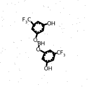 Oc1cc(OBOc2cc(O)cc(C(F)(F)F)c2)cc(C(F)(F)F)c1